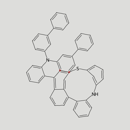 c1ccc(-c2cccc(N(c3cccc(-c4ccccc4)c3)c3ccccc3-c3cc4cc5c3cccc5c3ccccc3[nH]c3cccc(c3)s4)c2)cc1